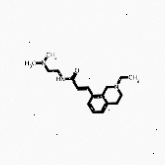 CCN1CCc2cccc(/C=C/C(=O)NCCN(C)C)c2C1